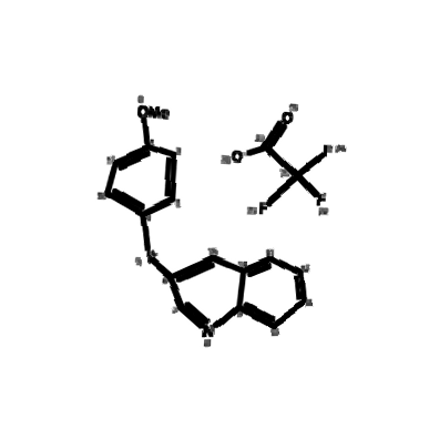 COc1ccc([I+]c2cnc3ccccc3c2)cc1.O=C([O-])C(F)(F)F